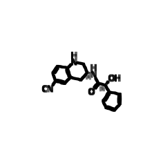 [C-]#[N+]c1ccc2c(c1)C[C@@H](NC(=O)[C@@H](O)c1ccccc1)CN2